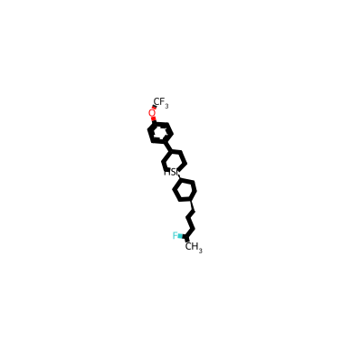 CC(F)CCC[C@H]1CC[C@H]([SiH]2CCC(c3ccc(OC(F)(F)F)cc3)CC2)CC1